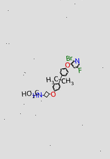 CC(C)(c1ccc(Oc2cc(F)cnc2Br)cc1)c1ccc(OC2CC(NC(=O)O)C2)cc1